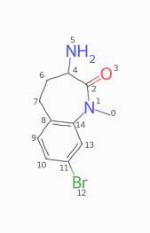 CN1C(=O)C(N)CCc2ccc(Br)cc21